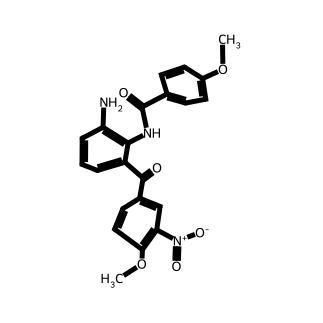 COc1ccc(C(=O)Nc2c(N)cccc2C(=O)c2ccc(OC)c([N+](=O)[O-])c2)cc1